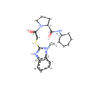 Cn1c(SCC(=O)N2CCC[C@H]2C(=O)NC2CCCCC2)nc2ccccc21